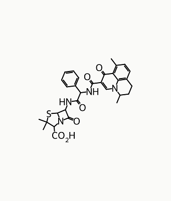 Cc1ccc2c3c1c(=O)c(C(=O)NC(C(=O)NC1C(=O)N4C1SC(C)(C)C4C(=O)O)c1ccccc1)cn3C(C)CC2